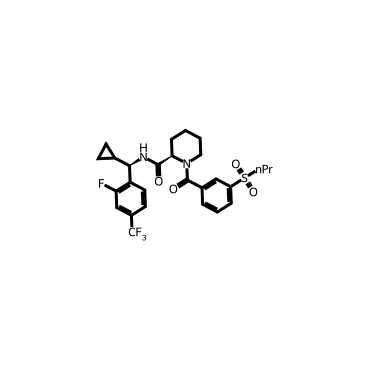 CCCS(=O)(=O)c1cccc(C(=O)N2CCCC[C@@H]2C(=O)N[C@@H](c2ccc(C(F)(F)F)cc2F)C2CC2)c1